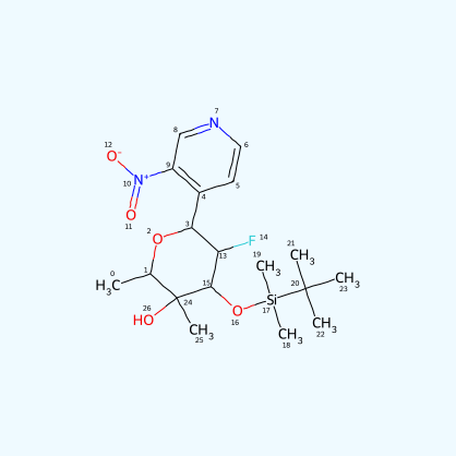 CC1OC(c2ccncc2[N+](=O)[O-])C(F)C(O[Si](C)(C)C(C)(C)C)C1(C)O